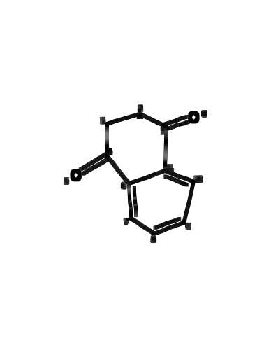 O=C1[C]CC(=O)c2ccccc21